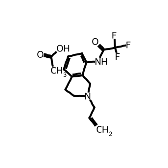 C=CCN1CCc2cccc(NC(=O)C(F)(F)F)c2C1.CC(=O)O